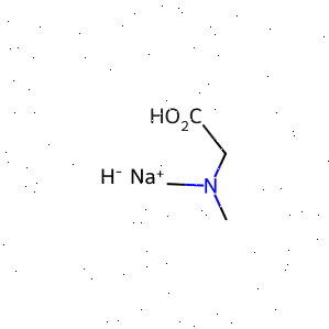 CN(C)CC(=O)O.[H-].[Na+]